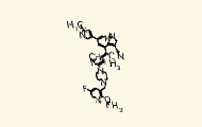 C=N/C(=C\C=C(/C)c1cc(-c2cnn(C)c2)cn2ncc(C#N)c12)N1CCN(Cc2cc(F)cnc2OC)CC1